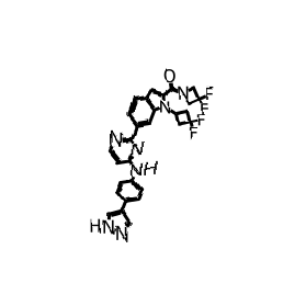 O=C(c1cc2ccc(-c3nccc(Nc4ccc(-c5cn[nH]c5)cc4)n3)cc2n1C1CC(F)(F)C1)N1CC(F)(F)C1